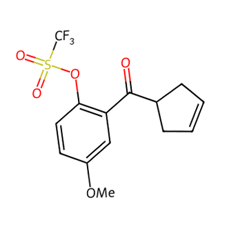 COc1ccc(OS(=O)(=O)C(F)(F)F)c(C(=O)C2CC=CC2)c1